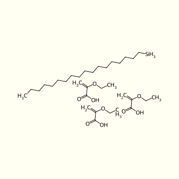 C=C(OCC)C(=O)O.C=C(OCC)C(=O)O.C=C(OCC)C(=O)O.CCCCCCCCCCCCCCCCCC[SiH3]